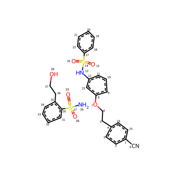 N#Cc1ccc(CCOc2cccc(NS(=O)(=O)c3ccccc3)c2)cc1.NS(=O)(=O)c1ccccc1CCO